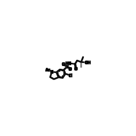 CC(=O)N1CCc2cc(Cl)c(S(=O)(=O)NC(=O)CC(C)(C)O)cc21